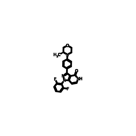 C[C@H]1COCCN1c1ccc(-c2nn(-c3c(F)cccc3F)c3cc[nH]c(=O)c23)cc1